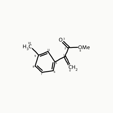 C=C(C(=O)OC)c1cccc(C)c1